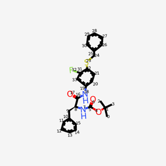 CC(C)(C)OC(=O)N[C@@H](Cc1ccccc1)C(=O)Nc1ccc(SCc2ccccc2)c(F)c1